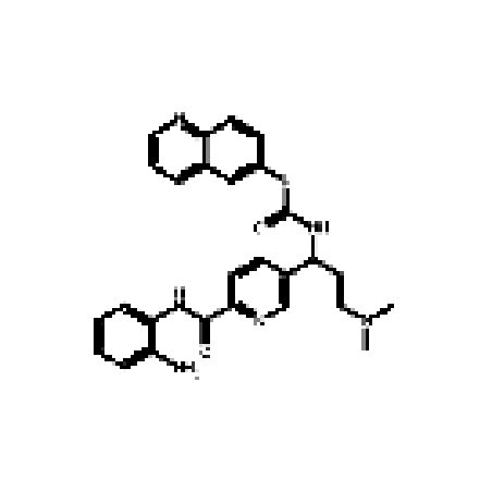 CN(C)CCC(NC(=O)Nc1ccc2ncccc2c1)c1ccc(C(=O)Nc2ccccc2N)nc1